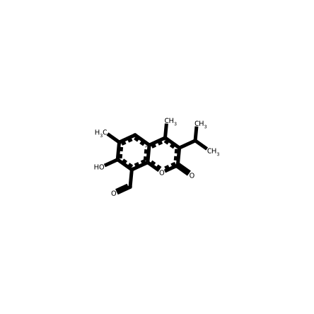 Cc1cc2c(C)c(C(C)C)c(=O)oc2c(C=O)c1O